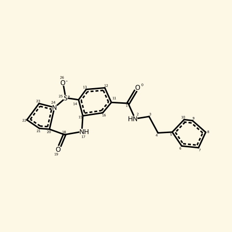 O=C(NCCc1ccccc1)c1ccc2c(c1)NC(=O)c1cccn1[S+]2[O-]